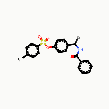 CCC(NC(=O)c1ccccc1)c1ccc(OS(=O)(=O)c2ccc(C)cc2)cc1